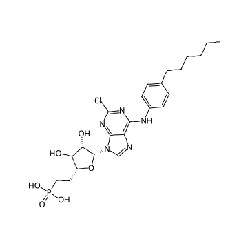 CCCCCCc1ccc(Nc2nc(Cl)nc3c2ncn3[C@@H]2O[C@H](CCP(=O)(O)O)C(O)[C@@H]2O)cc1